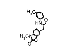 Cc1ccc2c(c1)NC(Cc1ccc3c(c1)oc(=O)n3C)CO2